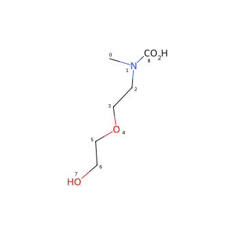 CN(CCOCCO)C(=O)O